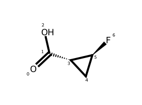 O=C(O)[C@H]1C[C@@H]1F